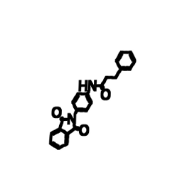 O=C(CCc1ccccc1)Nc1ccc(N2C(=O)c3ccccc3C2=O)cc1